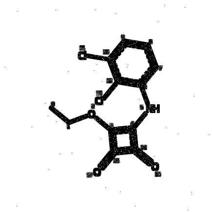 CCOc1c(Nc2cccc(Cl)c2Cl)c(=O)c1=O